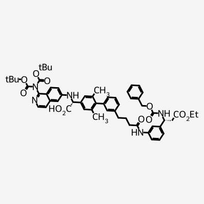 CCOC(=O)C[C@@H](NC(=O)OCc1ccccc1)c1cccc(NC(=O)CCCc2cccc(-c3c(C)cc([C@@H](Nc4ccc5c(N(C(=O)OC(C)(C)C)C(=O)OC(C)(C)C)nccc5c4)C(=O)O)cc3C)c2)c1